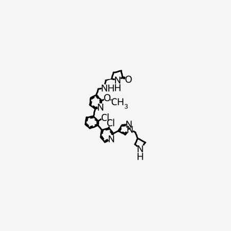 COc1nc(-c2cccc(-c3ccnc(-c4cnn(CC5CNC5)c4)c3Cl)c2Cl)ccc1CNC[C@H]1CCC(=O)N1